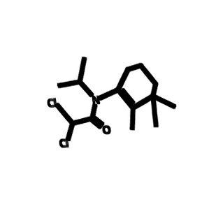 CC1=C(N(C(=O)C(Cl)Cl)C(C)C)CCCC1(C)C